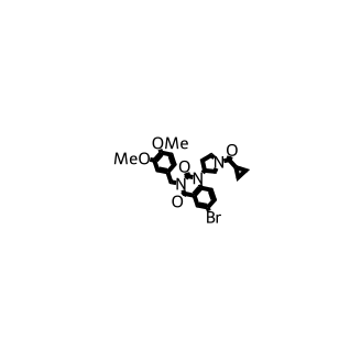 COc1ccc(Cn2c(=O)c3cc(Br)ccc3n(C3CCN(C(=O)C4CC4)C3)c2=O)cc1OC